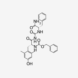 Cc1cc(O)cc(C)c1C[C@@H](NC(=O)OCc1ccccc1)C(=O)NC(=O)N[C@@H](Cc1ccccc1)C(N)=O